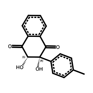 Cc1ccc([C@]2(O)C(=O)c3ccccc3C(=O)[C@H]2O)cc1